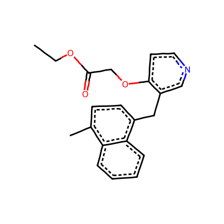 CCOC(=O)COc1ccncc1Cc1ccc(C)c2ccccc12